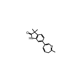 CC1=NC=C(c2ccc3c(c2)NC(=O)C3(C)C)C=CC1